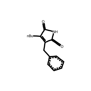 CCCCC1=C(Cc2ccccc2)C(=O)NC1=O